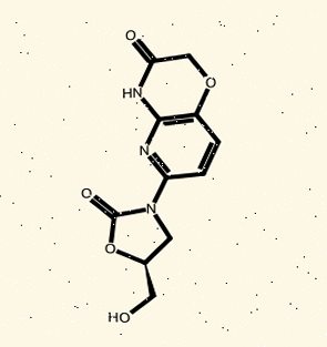 O=C1COc2ccc(N3C[C@@H](CO)OC3=O)nc2N1